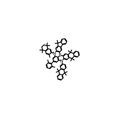 Cc1cc2c(cc1N1c3cc4c(cc3B3c5cc6c(cc5N(c5ccc7c(c5)C(C)(C)c5ccccc5C7(C)C)c5cc(-c7c(C)cccc7C)cc1c53)C(C)(C)c1ccccc1C6(C)C)-c1ccccc1C4(C)C)C(C)(C)CCC2(C)C